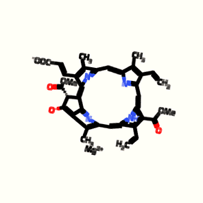 C=CC1=C(C)C2=CC3=NC(=C4C5=NC(=C(C)C5=C([O-])[C@@H]4C(=O)OC)C=c4[nH]c(c(C(=O)OC)c4C=C)=CC1=N2)C(/C=C/C(=O)[O-])=C3C.[Mg+2]